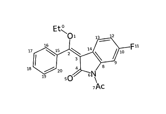 CCOC(=C1C(=O)N(C(C)=O)c2cc(F)ccc21)c1ccccc1